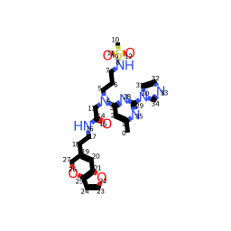 Cc1cc(N(CCCNS(C)(=O)=O)CC(=O)NCCC2=Cc3occc3OC2)nc(-n2ccnc2)n1